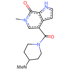 CNC1CCN(C(=O)c2cn(C)c(=O)c3[nH]ccc23)CC1